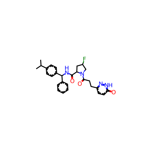 CC(C)c1ccc(C(NC(=O)C2CC(F)CN2C(=O)CCc2ccc(=O)[nH]n2)c2ccccc2)cc1